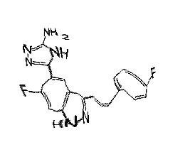 Nc1nnc(-c2cc3c(C=Cc4ccc(F)cc4)n[nH]c3cc2F)[nH]1